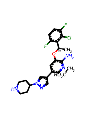 CC(=O)O.C[C@@H](Oc1cc(-c2cnn(C3CCNCC3)c2)cnc1N)c1c(F)ccc(F)c1Cl